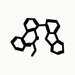 CCC(O)Oc1c(-c2ccccc2)cccc1-c1cccc2c1Cc1ccccc1-2